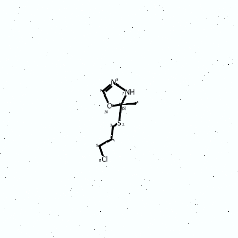 C[C@]1(SCCCCl)NN=CO1